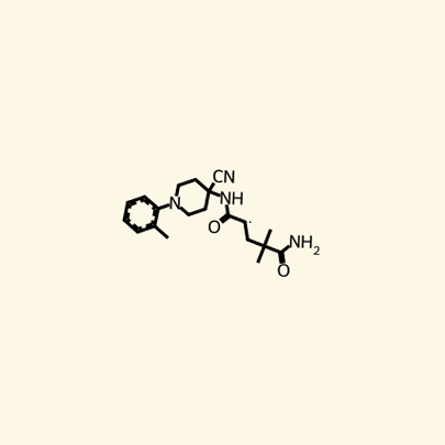 Cc1ccccc1N1CCC(C#N)(NC(=O)[CH]CC(C)(C)C(N)=O)CC1